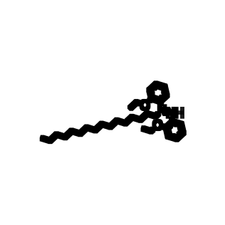 CCCCCCCCCCCCCCCCN(Nc1ccccc1OCC)c1ccccc1OCC